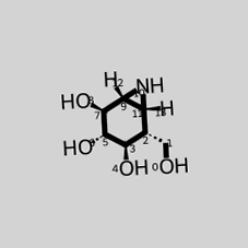 OC[C@@H]1[C@@H](O)[C@H](O)[C@@H](O)[C@@H]2N[C@H]12